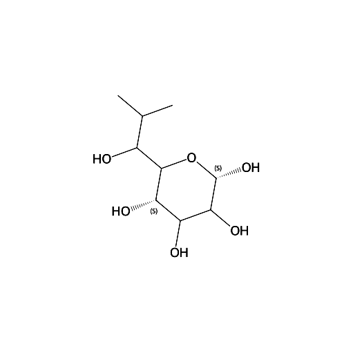 CC(C)C(O)C1O[C@H](O)C(O)C(O)[C@@H]1O